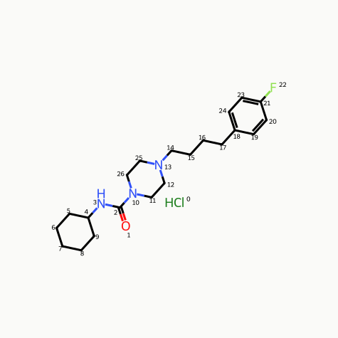 Cl.O=C(NC1CCCCC1)N1CCN(CCCCc2ccc(F)cc2)CC1